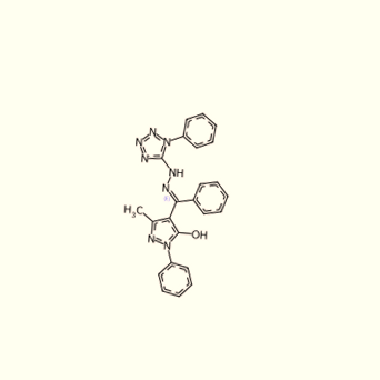 Cc1nn(-c2ccccc2)c(O)c1/C(=N/Nc1nnnn1-c1ccccc1)c1ccccc1